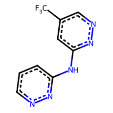 FC(F)(F)c1cnnc(Nc2cccnn2)c1